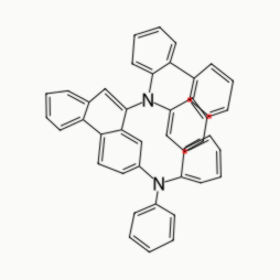 c1ccc(-c2ccccc2N(c2ccccc2)c2cc3ccccc3c3ccc(N(c4ccccc4)c4ccccc4)cc23)cc1